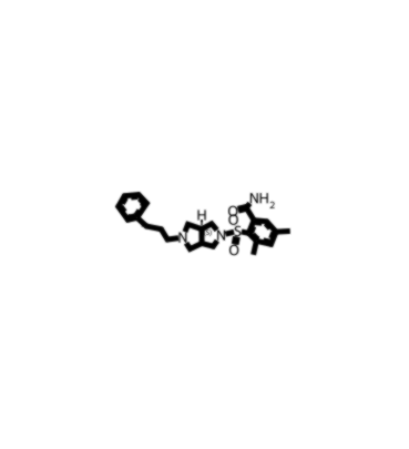 Cc1cc(C)c(S(=O)(=O)N2CC3CN(CC[CH]c4ccccc4)C[C@H]3C2)c(C(N)=O)c1